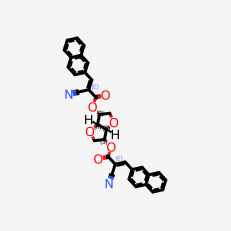 N#C/C(=C\c1ccc2ccccc2c1)C(=O)O[C@H]1CO[C@H]2[C@@H]1OC[C@H]2OC(=O)/C(C#N)=C/c1ccc2ccccc2c1